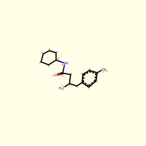 Cc1ccc(CC(C)CC(=O)NC2CCCCC2)cc1